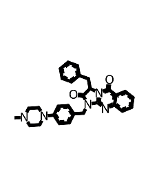 CN1CCN(c2ccc(CN3C(=O)C(Cc4ccccc4)n4c3nc3ccccc3c4=O)cc2)CC1